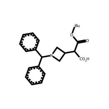 CCC(C)OC(=O)C(C(=O)O)C1CN(C(c2ccccc2)c2ccccc2)C1